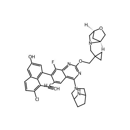 C#Cc1c(Cl)ccc2cc(O)cc(-c3c(C)cc4c(N5CC6CCC(C5)N6)nc(OCC5(CN6C[C@@H]7C[C@H]6CO7)CC5)nc4c3F)c12